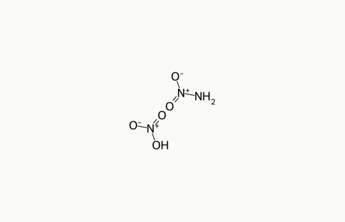 N[N+](=O)[O-].O=[N+]([O-])O